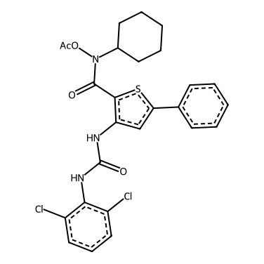 CC(=O)ON(C(=O)c1sc(-c2ccccc2)cc1NC(=O)Nc1c(Cl)cccc1Cl)C1CCCCC1